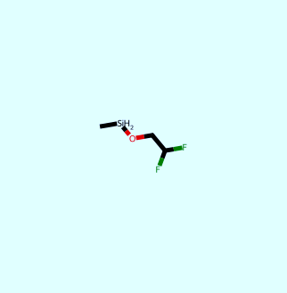 C[SiH2]OCC(F)F